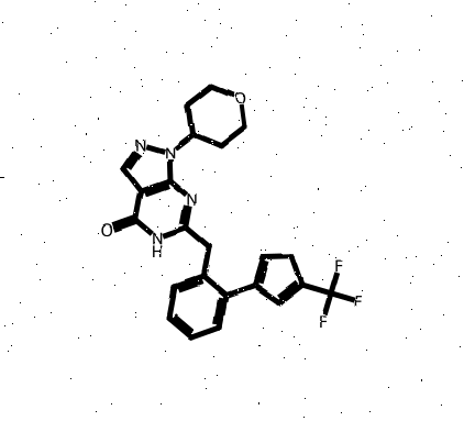 O=c1[nH]c(Cc2ccccc2C2=CCC(C(F)(F)F)=C2)nc2c1cnn2C1CCOCC1